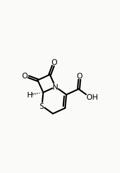 O=C(O)C1=CCS[C@H]2C(=O)C(=O)N12